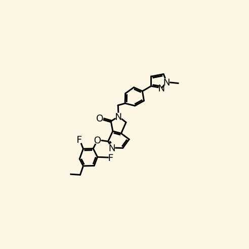 CCc1cc(F)c(Oc2nccc3c2C(=O)N(Cc2ccc(-c4ccn(C)n4)cc2)C3)c(F)c1